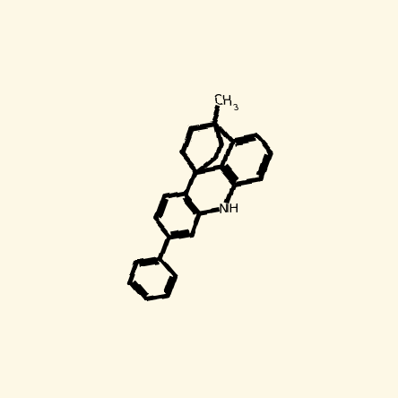 CC12CCC3(CC1)c1ccc(-c4ccccc4)cc1Nc1cccc2c13